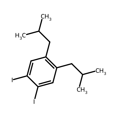 CC(C)Cc1cc(I)c(I)cc1CC(C)C